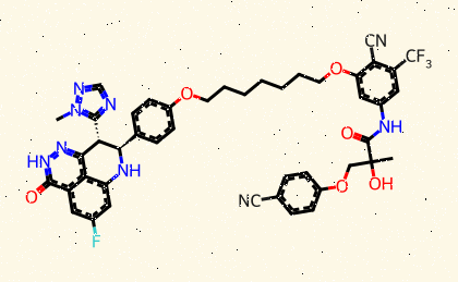 Cn1ncnc1[C@H]1c2n[nH]c(=O)c3cc(F)cc(c23)N[C@@H]1c1ccc(OCCCCCCCOc2cc(NC(=O)C(C)(O)COc3ccc(C#N)cc3)cc(C(F)(F)F)c2C#N)cc1